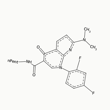 CCCCCNC(=O)c1cn(-c2ccc(F)cc2F)c2nc(N(C)C)ccc2c1=O